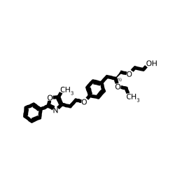 CCO[C@H](COCCO)Cc1ccc(OCCc2nc(-c3ccccc3)oc2C)cc1